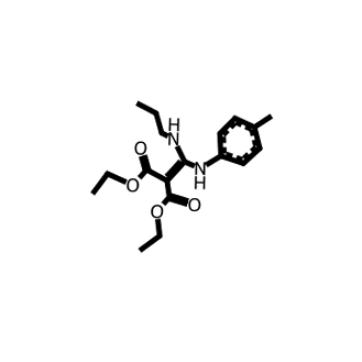 CCCNC(Nc1ccc(C)cc1)=C(C(=O)OCC)C(=O)OCC